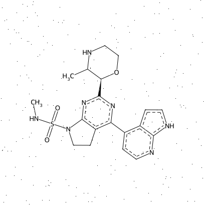 CNS(=O)(=O)N1CCc2c(-c3ccnc4[nH]ccc34)nc([C@@H]3OCCNC3C)nc21